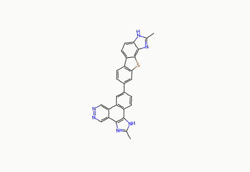 Cc1nc2c(ccc3c4ccc(-c5ccc6c(c5)c5cnncc5c5nc(C)[nH]c65)cc4sc32)[nH]1